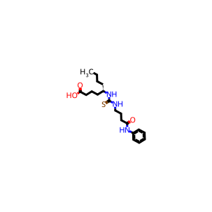 CCCC[C@@H](CCCC(=O)O)NC(=S)NCCCC(=O)Nc1ccccc1